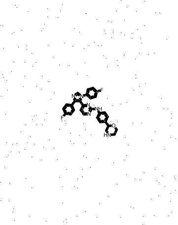 Fc1ccc(-c2ncn(-c3ccc(F)cc3)c2-c2ccnc(Nc3ccc(C4CNCCO4)cc3)n2)cc1